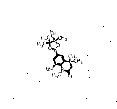 CN1C(=O)CC(C)(C)c2cc(B3OC(C)(C)C(C)(C)O3)cc(C(C)(C)C)c21